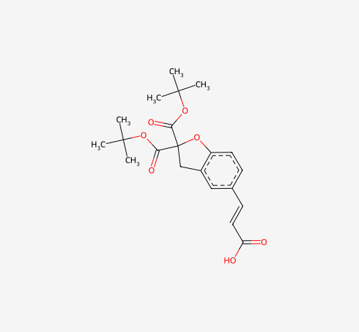 CC(C)(C)OC(=O)C1(C(=O)OC(C)(C)C)Cc2cc(C=CC(=O)O)ccc2O1